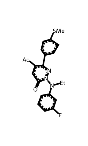 CCN(c1cccc(F)c1)n1nc(-c2ccc(SC)cc2)c(C(C)=O)cc1=O